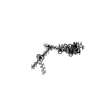 CCCCCCCCC(CCCCCC)C(=O)OCCCCCCN(CCC)CCCCCC(=O)OC[C@@H]1O[C@H](n2c(=O)[nH]c3c(=O)[nH]c(N)nc32)C(O)C1O